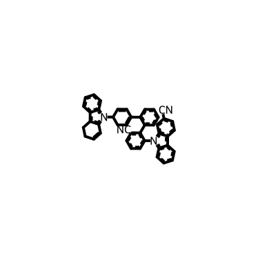 N#Cc1ccc2c3ccccc3n(-c3cccc(C#N)c3-c3ccccc3C3=CCC(n4c5c(c6ccccc64)CCC=C5)C=C3)c2c1